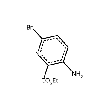 CCOC(=O)c1nc(Br)ccc1N